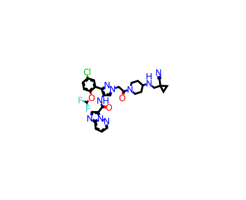 N#CC1(CNC2CCN(C(=O)Cn3cc(NC(=O)c4cnc5cccnn45)c(-c4cc(Cl)ccc4OC(F)F)n3)CC2)CC1